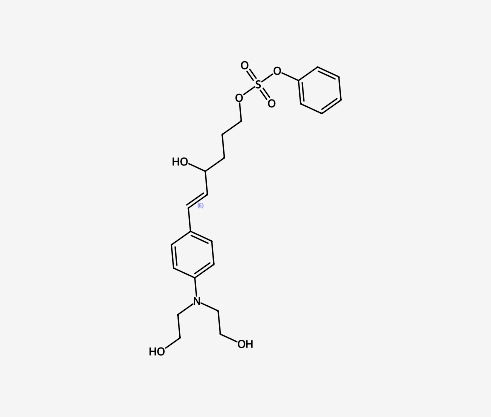 O=S(=O)(OCCCC(O)/C=C/c1ccc(N(CCO)CCO)cc1)Oc1ccccc1